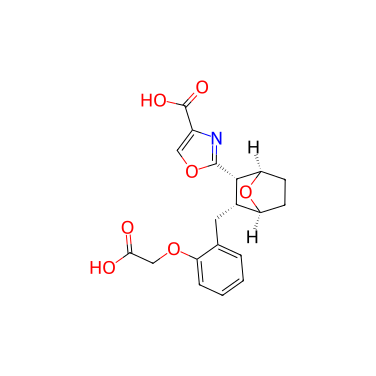 O=C(O)COc1ccccc1C[C@@H]1[C@H](c2nc(C(=O)O)co2)[C@H]2CC[C@@H]1O2